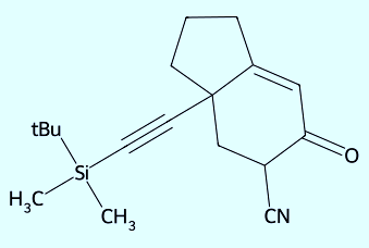 CC(C)(C)[Si](C)(C)C#CC12CCCC1=CC(=O)C(C#N)C2